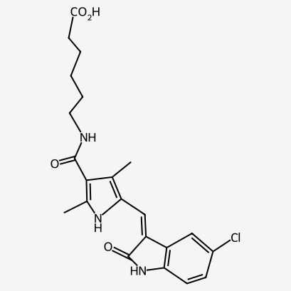 Cc1[nH]c(/C=C2\C(=O)Nc3ccc(Cl)cc32)c(C)c1C(=O)NCCCCCC(=O)O